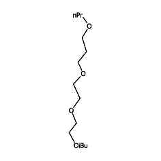 CCCOCCCOCCOCCOCC(C)C